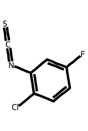 Fc1ccc(Cl)c(N=C=S)c1